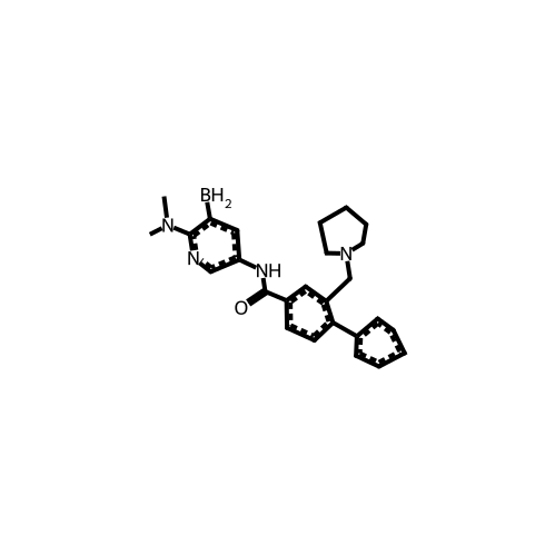 Bc1cc(NC(=O)c2ccc(-c3ccccc3)c(CN3CCCCC3)c2)cnc1N(C)C